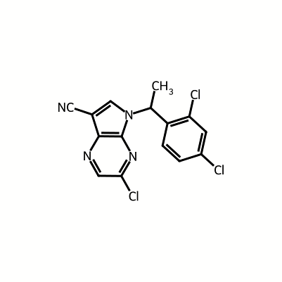 CC(c1ccc(Cl)cc1Cl)n1cc(C#N)c2ncc(Cl)nc21